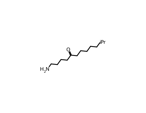 CC(C)CCCCCC(=O)CCCCN